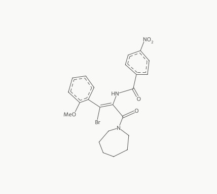 COc1ccccc1C(Br)=C(NC(=O)c1ccc([N+](=O)[O-])cc1)C(=O)N1CCCCCC1